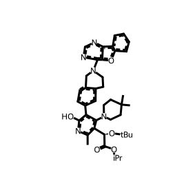 Cc1nc(O)c(-c2ccc3c(c2)CCN(c2ncnc4c2oc2ccccc24)C3)c(N2CCC(C)(C)CC2)c1[C@H](OC(C)(C)C)C(=O)OC(C)C